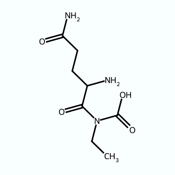 CCN(C(=O)O)C(=O)C(N)CCC(N)=O